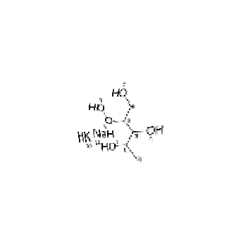 CC(O)C(O)C(CO)OO.[KH].[NaH]